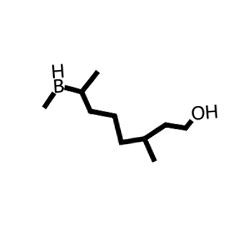 CBC(C)CCCC(C)CCO